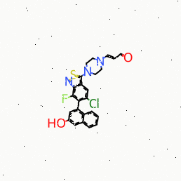 O=CC=CN1CCN(c2snc3c(F)c(-c4cc(O)cc5ccccc45)c(Cl)cc23)CC1